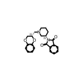 O=C1c2ccccc2C(=O)N1[C@H]1CCCN(C[C@H]2COc3ccccc3O2)C1